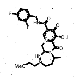 COCCN1CCC(C)N2C(=O)c3c(O)c(=O)c(C(=O)NCc4ccc(F)cc4F)cn3CC2N1